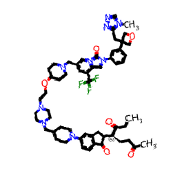 CCC(=O)[C@@H](CCC(C)=O)C1Cc2cc(N3CCC(CN4CCN(CCOC5CCN(Cc6cc(C(F)(F)F)c7cn(-c8cccc(C9(Cc%10nncn%10C)COC9)c8)c(=O)n7c6)CC5)CC4)CC3)ccc2C1=O